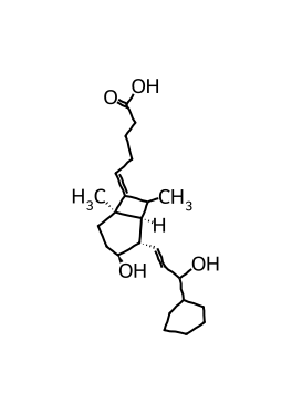 CC1C(=CCCCC(=O)O)[C@]2(C)CC[C@H](O)[C@@H](/C=C/C(O)C3CCCCC3)[C@H]12